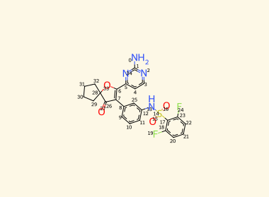 Nc1nccc(C2=C(c3cccc(NS(=O)(=O)c4c(F)cccc4F)c3)C(=O)C3(CCCC3)O2)n1